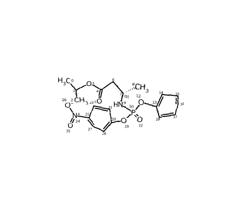 CC(C)OC(=O)C[C@H](C)NP(=O)(Oc1ccccc1)Oc1ccc([N+](=O)[O-])cc1